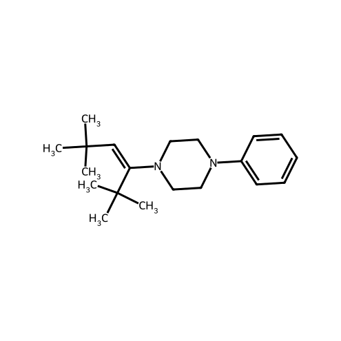 CC(C)(C)/C=C(/N1CCN(c2ccccc2)CC1)C(C)(C)C